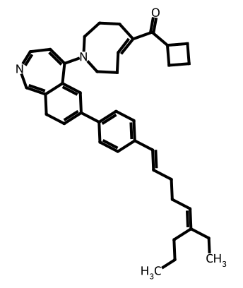 CCC/C(=C\CC/C=C/c1ccc(C2=CCC3=CN=CC=C(N4CC/C=C(\C(=O)C5CCC5)CCC4)C3=C2)cc1)CC